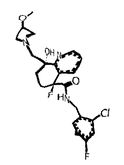 COC1CN(C[C@]2(O)CC[C@@](F)(C(=O)NCc3ccc(F)cc3Cl)c3cccnc32)C1